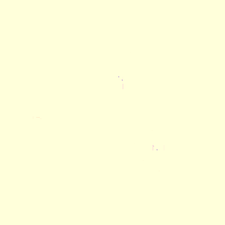 C[C@@H](C(=O)NCc1ccc(C(C)(C)C)cc1)c1ccc(NS(C)(=O)=O)c(F)c1